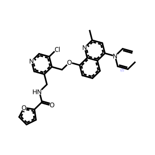 C=CN(/C=C\C)c1cc(C)nc2c(OCc3c(Cl)cncc3CNC(=O)c3ccco3)cccc12